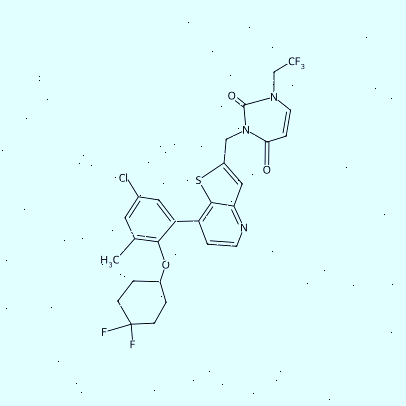 Cc1cc(Cl)cc(-c2ccnc3cc(Cn4c(=O)ccn(CC(F)(F)F)c4=O)sc23)c1OC1CCC(F)(F)CC1